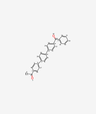 CCC(=O)c1ccc(-c2ccc(-c3ccc(C(=O)c4ccccc4)cc3)cc2)cc1